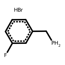 Br.Fc1cccc(CP)c1